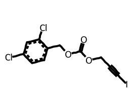 O=C(OCC#CI)OCc1ccc(Cl)cc1Cl